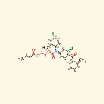 CC=CC(=O)OCCOC(=O)N(c1ccc(C(=O)c2ccccc2C)c(Cl)c1)c1ccc(F)cc1C